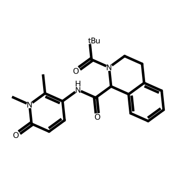 Cc1c(NC(=O)C2c3ccccc3CCN2C(=O)C(C)(C)C)ccc(=O)n1C